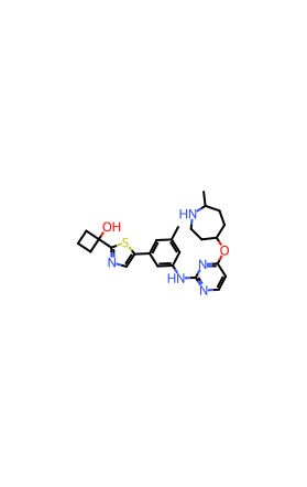 Cc1cc(Nc2nccc(OC3CCNC(C)CC3)n2)cc(-c2cnc(C3(O)CCC3)s2)c1